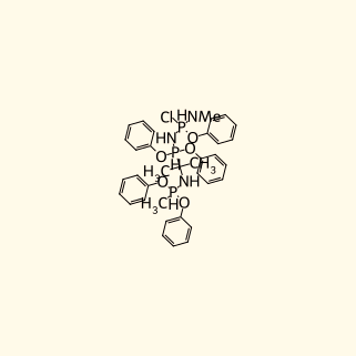 CN[PH](Cl)(N[PH](Oc1ccccc1)(Oc1ccccc1)C(C)(C)N[PH](C)(Oc1ccccc1)Oc1ccccc1)Oc1ccccc1